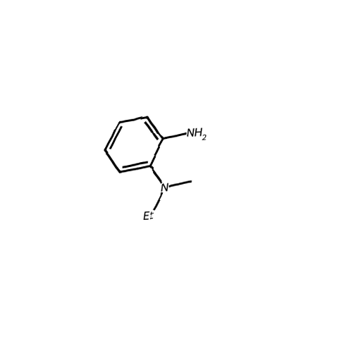 CCN(C)c1ccccc1N